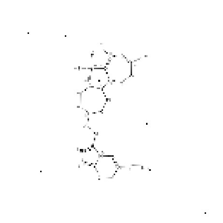 N#Cc1ccc2nnc(CCN3CCCC(C4CCC(F)=CC(F)=C4C(F)(F)F)CC3)n2c1